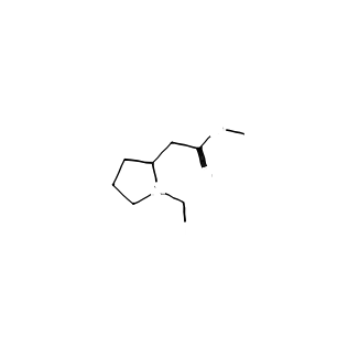 COC(=O)CC1CCCN1CI